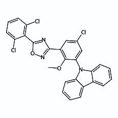 COc1c(-c2noc(-c3c(Cl)cccc3Cl)n2)cc(Cl)cc1-n1c2ccccc2c2ccccc21